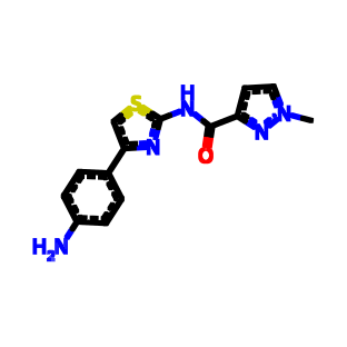 Cn1ccc(C(=O)Nc2nc(-c3ccc(N)cc3)cs2)n1